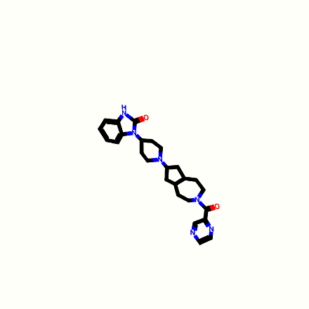 O=C(c1cnccn1)N1CCC2CC(N3CCC(n4c(=O)[nH]c5ccccc54)CC3)CC2CC1